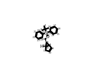 CC(C)(C)[Si](OC[C@H]1C2C=CC[C@@H]21)(c1ccccc1)c1ccccc1